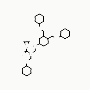 O=C(N1CC1)N(COC1CCCCC1)COC1CCC(COC2CCCCC2)C(COC2CCCCC2)C1